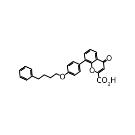 O=C(O)c1cc(=O)c2cccc(-c3ccc(OCCCCc4ccccc4)cc3)c2o1